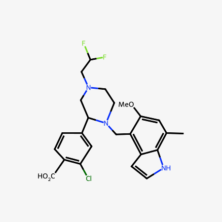 COc1cc(C)c2[nH]ccc2c1CN1CCN(CC(F)F)CC1c1ccc(C(=O)O)c(Cl)c1